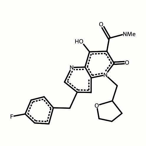 CNC(=O)c1c(O)c2ncc(Cc3ccc(F)cc3)cc2n(CC2CCCO2)c1=O